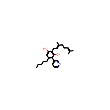 CCCCCc1cc(O)c(C/C=C(\C)CCC=C(C)C)c(O)c1-c1cccnc1